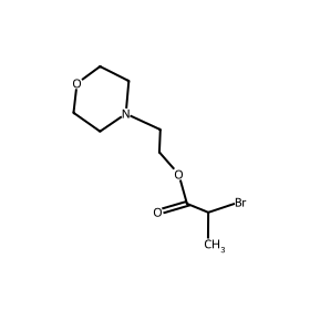 CC(Br)C(=O)OCCN1CCOCC1